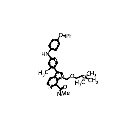 CNC(=O)c1nccc2c(-c3cnc(Nc4ccc(OC(C)C)cc4)cc3C)cn(COCC[Si](C)(C)C)c12